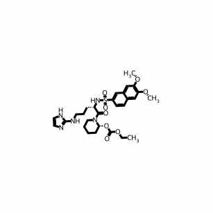 CCOC(=O)O[C@@H]1CCCCN1C(=O)[C@H](CCCNc1ncc[nH]1)NS(=O)(=O)c1ccc2cc(OC)c(OC)cc2c1